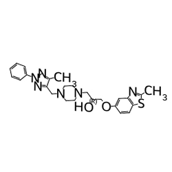 Cc1nc2cc(OC[C@H](O)CN3CCN(Cc4nn(-c5ccccc5)nc4C)CC3)ccc2s1